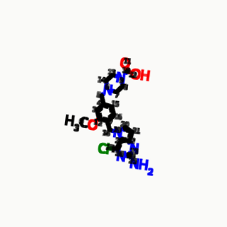 COc1cc(CN2CCN(C(=O)O)CC2)ccc1Cn1ccc2nc(N)nc(Cl)c21